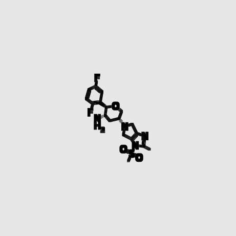 Cc1nc2c(n1S(C)(=O)=O)CN([C@H]1CO[C@H](c3cc(F)ccc3F)[C@@H](N)C1)C2